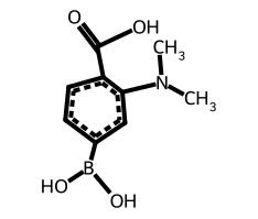 CN(C)c1cc(B(O)O)ccc1C(=O)O